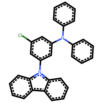 Clc1cc(N(c2ccccc2)c2ccccc2)cc(-n2c3ccccc3c3ccccc32)c1